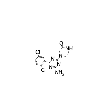 Nc1nc(-c2cc(Cl)ccc2Cl)nc(N2CCNC(=O)C2)n1